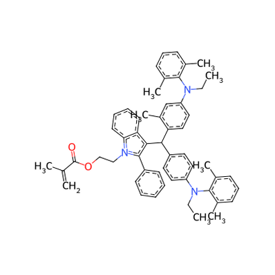 C=C(C)C(=O)OCCn1c(-c2ccccc2)c(C(c2ccc(N(CC)c3c(C)cccc3C)cc2)c2ccc(N(CC)c3c(C)cccc3C)cc2C)c2ccccc21